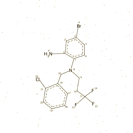 Nc1cc(Br)ccc1N(CCC(F)(F)F)Cc1ccccc1Cl